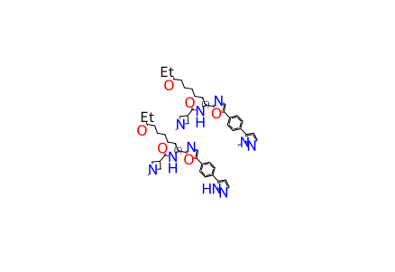 CCC(=O)CCCCC[C@H](NC(=O)C1CN(C)C1)c1ncc(-c2ccc(-c3ccn[nH]3)cc2)o1.CCC(=O)CCCCC[C@H](NC(=O)C1CN(C)C1)c1ncc(-c2ccc(-c3ccnn3C)cc2)o1